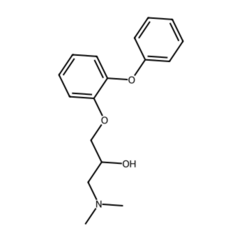 CN(C)CC(O)COc1ccccc1Oc1ccccc1